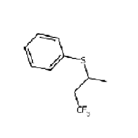 CC(CC(F)(F)F)Sc1ccccc1